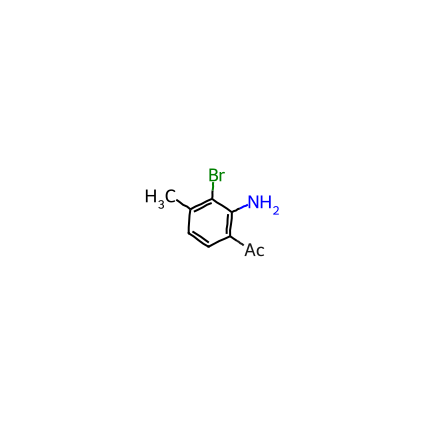 CC(=O)c1ccc(C)c(Br)c1N